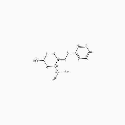 OC1CCN(CCc2ccccc2)C(C(F)F)C1